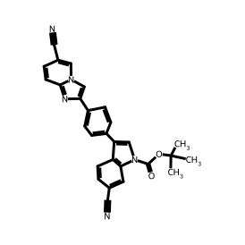 CC(C)(C)OC(=O)n1cc(-c2ccc(-c3cn4cc(C#N)ccc4n3)cc2)c2ccc(C#N)cc21